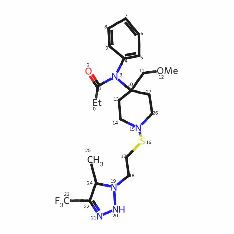 CCC(=O)N(c1ccccc1)C1(COC)CCN(SCCN2NN=C(C(F)(F)F)C2C)CC1